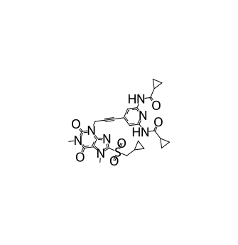 Cn1c(=O)c2c(nc(S(=O)(=O)CC3CC3)n2C)n(CC#Cc2cc(NC(=O)C3CC3)nc(NC(=O)C3CC3)c2)c1=O